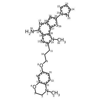 CN1CCOc2cc(OCCCc3nc4c(N)nc5cc(-n6cccn6)sc5c4n3C)ccc21